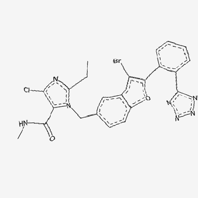 CCc1nc(Cl)c(C(=O)NC)n1Cc1ccc2oc(-c3ccccc3-c3nnn[nH]3)c(Br)c2c1